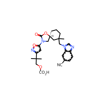 CC1(Cn2cnc3ccc(C#N)cc32)CCC[C@@]2(CN(c3cc(C(C)(C)COC(=O)O)no3)C(=O)O2)C1